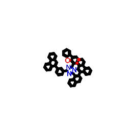 c1cc(-c2nc(-c3c(-c4cc5ccccc5c5ccccc45)ccc4ccccc34)nc(-c3cccc4c3oc3ccccc34)n2)cc(-c2cc3ccccc3c3ccccc23)c1